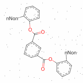 CCCCCCCCCc1ccccc1OC(=O)c1cccc(C(=O)Oc2ccccc2CCCCCCCCC)c1